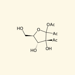 CC(=O)OC1(C(C)=O)O[C@H](CO)[C@@H](O)[C@]1(O)C(C)=O